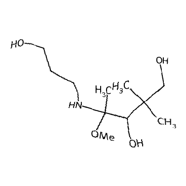 COC(C)(NCCCO)C(O)C(C)(C)CO